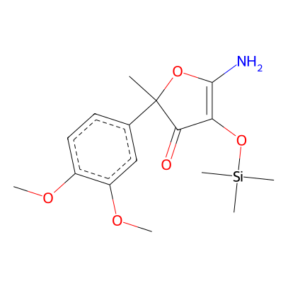 COc1ccc(C2(C)OC(N)=C(O[Si](C)(C)C)C2=O)cc1OC